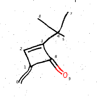 C=C1C=C(C(C)(C)C)C1=O